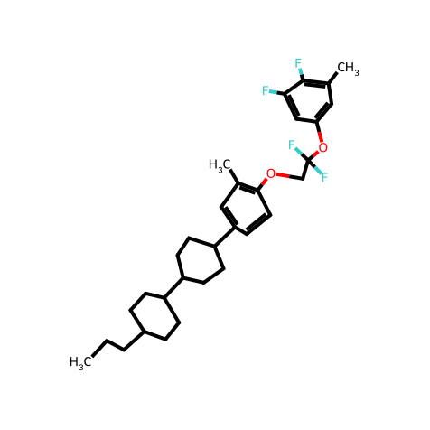 CCCC1CCC(C2CCC(c3ccc(OCC(F)(F)Oc4cc(C)c(F)c(F)c4)c(C)c3)CC2)CC1